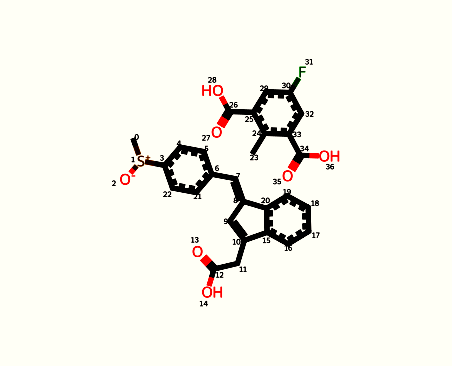 C[S+]([O-])c1ccc(C=C2C=C(CC(=O)O)c3ccccc32)cc1.Cc1c(C(=O)O)cc(F)cc1C(=O)O